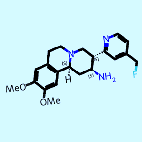 COc1cc2c(cc1OC)[C@@H]1C[C@H](N)[C@@H](c3cc(CF)ccn3)CN1CC2